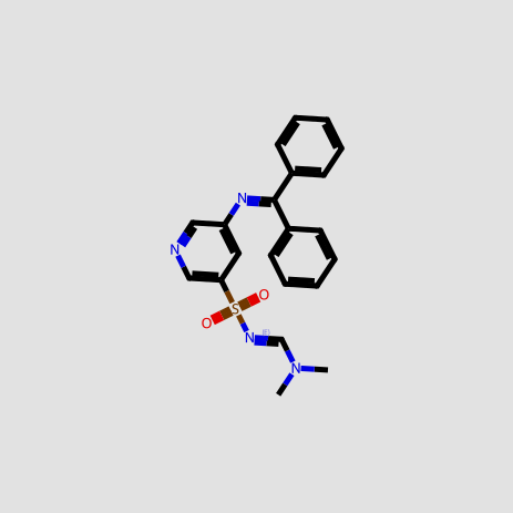 CN(C)/C=N/S(=O)(=O)c1cncc(N=C(c2ccccc2)c2ccccc2)c1